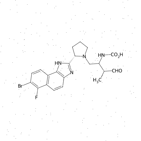 CC(C=O)C(CN1CCC[C@H]1c1nc2ccc3c(F)c(Br)ccc3c2[nH]1)NC(=O)O